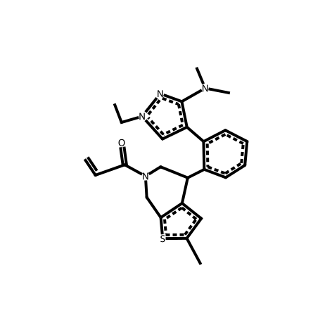 C=CC(=O)N1Cc2sc(C)cc2C(c2ccccc2-c2cn(CC)nc2N(C)C)C1